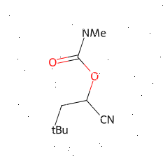 CNC(=O)OC(C#N)CC(C)(C)C